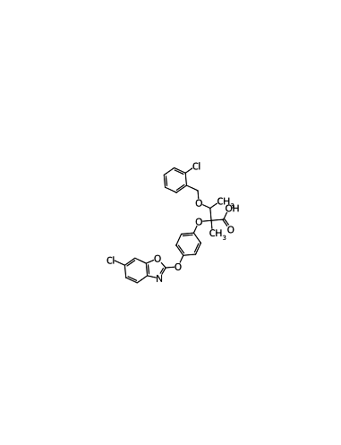 CC(OCc1ccccc1Cl)C(C)(Oc1ccc(Oc2nc3ccc(Cl)cc3o2)cc1)C(=O)O